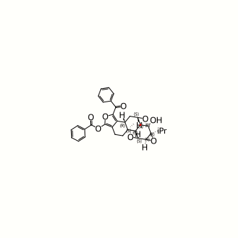 CC(C)[C@]12O[C@H]1[C@@H]1O[C@]13[C@]1(O[C@H]1C[C@H]1c4c(C(=O)c5ccccc5)oc(OC(=O)c5ccccc5)c4CC[C@@]13C)[C@@H]2O